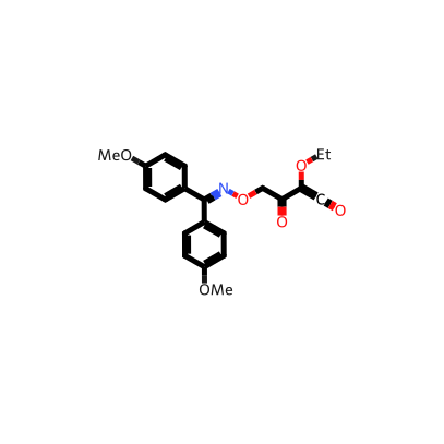 CCOC(=C=O)C(=O)CON=C(c1ccc(OC)cc1)c1ccc(OC)cc1